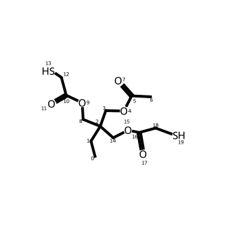 CCC(COC(C)=O)(COC(=O)CS)COC(=O)CS